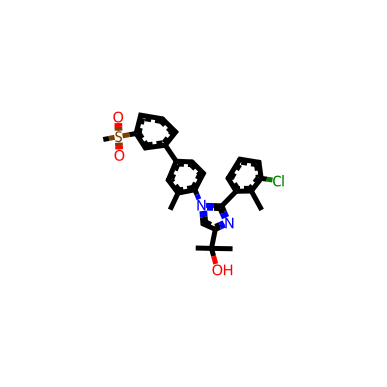 Cc1cc(-c2cccc(S(C)(=O)=O)c2)ccc1-n1cc(C(C)(C)O)nc1-c1cccc(Cl)c1C